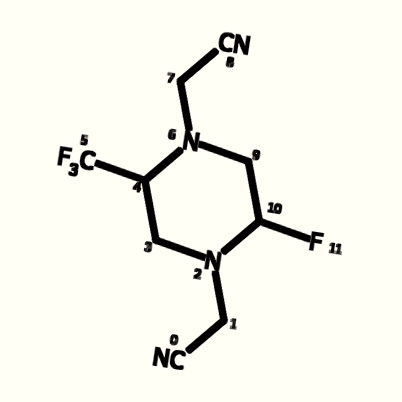 N#CCN1CC(C(F)(F)F)N(CC#N)CC1F